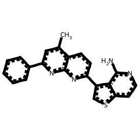 Cc1cc(-c2ccccc2)nc2nc(-c3csc4ccnc(N)c34)ccc12